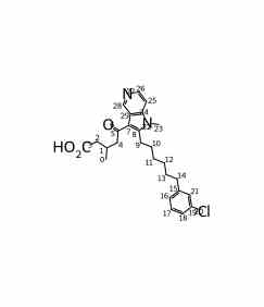 CC(CC(=O)O)CC(=O)c1c(CCCCCCc2cccc(Cl)c2)n(C)c2ccncc12